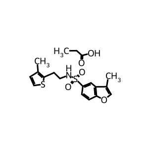 CCC(=O)O.Cc1ccsc1CCNS(=O)(=O)c1ccc2occ(C)c2c1